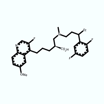 CCC(CCN(C)C[C@H](CCCc1c(F)cnc2ccc(OC)cc12)C(=O)O)c1cc(F)ccc1F